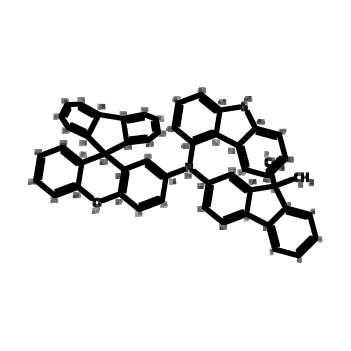 CC1(C)c2ccccc2-c2ccc(N(c3ccc4c(c3)C3(c5ccccc5O4)c4ccccc4-c4ccccc43)c3cccc4sc5ccccc5c34)cc21